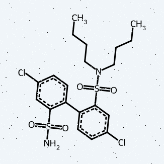 CCCCN(CCCC)S(=O)(=O)c1cc(Cl)ccc1-c1ccc(Cl)cc1S(N)(=O)=O